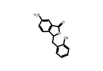 N#Cc1ccccc1CC1OC(=O)c2cc(N)ccc21